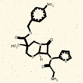 NCC(=O)N(c1cccs1)C1C(=O)N2CC(C(=O)O)(C(=O)OCc3ccc([N+](=O)[O-])cc3)CS[C@H]12